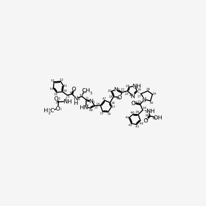 COC(=O)N[C@@H](C(=O)N[C@@H](C)c1nc(-c2cccc(-c3cnc(-c4c[nH]c([C@@H]5CCCN5C(=O)[C@H](NC(=O)O)c5ccccc5)n4)o3)c2)c[nH]1)c1ccccc1